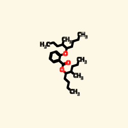 CCCCC(OC(=O)c1ccccc1OC(CCCC)C(C)CCC)C(C)CCC